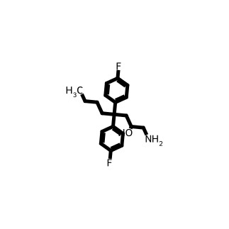 CCCCC(CC(O)CN)(c1ccc(F)cc1)c1ccc(F)cc1